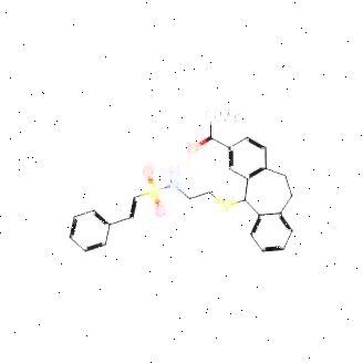 COC(=O)c1ccc2c(c1)C(SCCNS(=O)(=O)C=Cc1ccccc1)c1ccccc1CC2